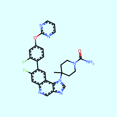 CC1(n2cnc3cnc4cc(F)c(-c5ccc(Oc6ncccn6)cc5F)cc4c32)CCN(C(N)=O)CC1